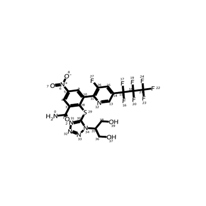 NC(=O)c1cc([N+](=O)[O-])cc(-c2ncc(C(F)(F)C(F)(F)C(F)(F)F)cc2F)c1Sc1nnnn1C(CO)CO